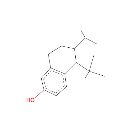 CC(C)C1CCc2cc(O)ccc2C1C(C)(C)C